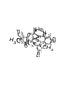 CCN1CCN(Cc2c(C)cc(Cl)cc2-c2ncnc3cc(CN4C(=O)C5C(C4=O)C5(C)C)sc23)C(C)C1